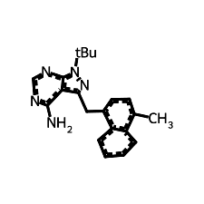 Cc1ccc(Cc2nn(C(C)(C)C)c3ncnc(N)c23)c2ccccc12